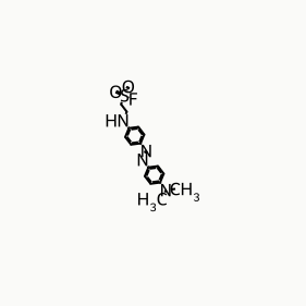 CN(C)c1ccc(N=Nc2ccc(NCCS(=O)(=O)F)cc2)cc1